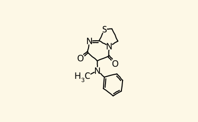 CN(c1ccccc1)C1C(=O)N=C2SCCN2C1=O